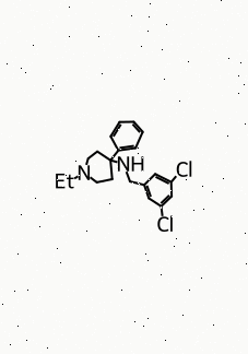 CCN1CCC(NCc2cc(Cl)cc(Cl)c2)(c2ccccc2)CC1